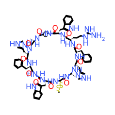 CSSC1NC(=O)[C@H](Cc2c[nH]c3ccccc23)NC(=O)NC(=O)[C@@H](Cc2ccccc2)NC(=O)[C@H](Cc2c[nH]cn2)NC(=O)[C@H](C)NC(=O)CNC(=O)[C@H](Cc2c[nH]c3ccccc23)NC(=O)[C@H](CCCNC(=N)N)NC(=O)[C@@H](Cc2ccccc2)NC(=O)[C@H](Cc2c[nH]cn2)N[C@H](C)NC1=O